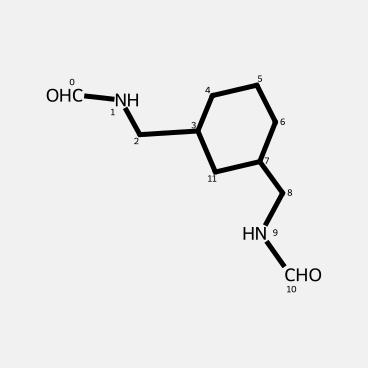 O=CNCC1CCCC(CNC=O)C1